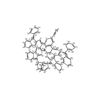 N#Cc1cc2c3c(c1)-c1cc4c(c5ccccc5n4-c4ccccc4)c4c1c(cc1c4c4ccccc4n1-c1ccccc1)B3c1cc3c(c4ccccc4n3-c3ccccc3)c3c1c-2cc1c3c2ccccc2n1-c1ccccc1